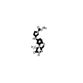 C[C@@H]1C(=O)NN=C2COc3ccc(NC4CCN(C(=O)OC(C)(C)C)C4)cc3N21